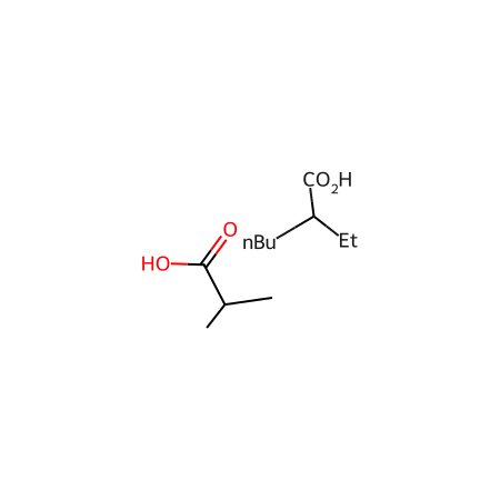 CC(C)C(=O)O.CCCCC(CC)C(=O)O